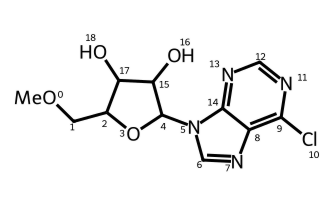 COCC1OC(n2cnc3c(Cl)ncnc32)C(O)C1O